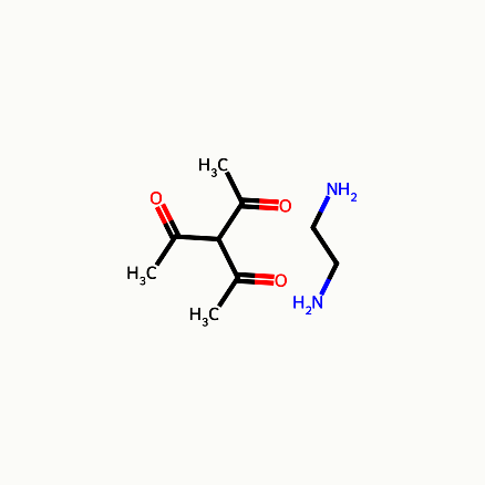 CC(=O)C(C(C)=O)C(C)=O.NCCN